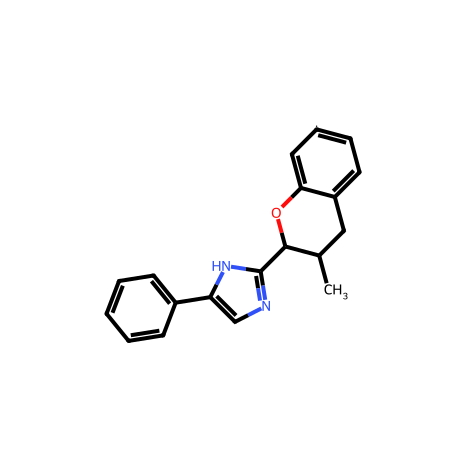 CC1Cc2cc[c]cc2OC1c1ncc(-c2ccccc2)[nH]1